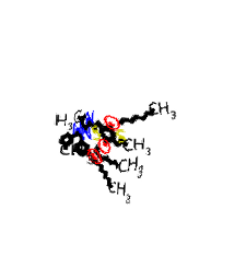 CCCCCCCCOc1cccc(-c2nc3c(-c4cc5c(OCCCCCCCC)c6sc(C)cc6c(OCCCCCCCC)c5s4)ncc(C)c3nc2-c2cccc(C)c2)c1